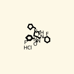 C[C@H]1C[C@]2(CCN1CC1CCCC1)C(N[C@@H]1CCCC[C@H]1F)=NC(=O)N2c1cccc(F)c1.Cl